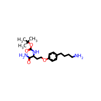 CC(C)(C)OC(=O)NC(CCOc1ccc(CCCCN)cc1)C(N)=O